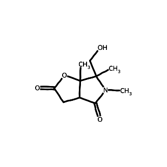 CN1C(=O)C2CC(=O)OC2(C)C1(C)CO